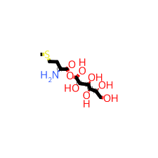 CSCC[C@H](N)C(=O)OC(O)[C@@H](O)[C@@H](O)[C@H](O)[C@H](O)CO